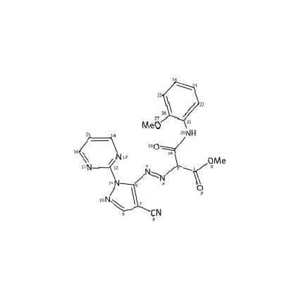 COC(=O)C(N=Nc1c(C#N)cnn1-c1ncccn1)C(=O)Nc1ccccc1OC